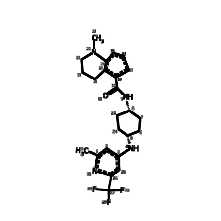 Cc1cc(N[C@H]2CC[C@@H](NC(=O)c3cccc4c3CCCN4C)CC2)cc(C(F)(F)F)n1